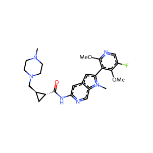 COc1ncc(F)c(OC)c1-c1cc2cc(NC(=O)[C@@H]3C[C@H]3CN3CCN(C)CC3)ncc2n1C